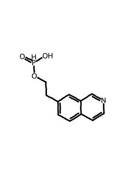 O=[PH](O)OCCc1ccc2ccncc2c1